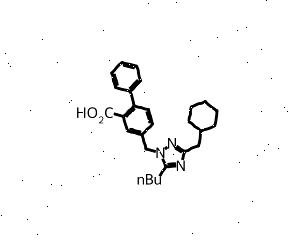 CCCCc1nc(CC2CCCCC2)nn1Cc1ccc(-c2ccccc2)c(C(=O)O)c1